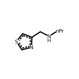 CCCNCc1cscn1